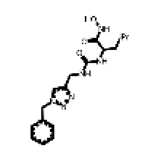 CC(C)CC(NC(=O)NCc1cn(Cc2ccccc2)nn1)C(=O)NO